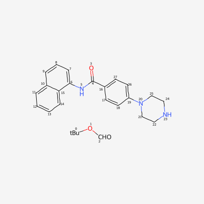 CC(C)(C)OC=O.O=C(Nc1cccc2ccccc12)c1ccc(N2CCNCC2)cc1